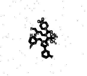 CC(C)(C)[C@H](c1nc(-c2cccc(F)c2)cn1Cc1cccc(F)c1)N(CC[C@H](N)CF)C(=O)N1CCS(=O)(=O)CC1